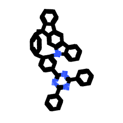 CC12c3ccc(cc3)-c3ccc(-c4nc(-c5ccccc5)nc(-c5ccccc5)n4)cc3-n3c4ccccc4c4cc(c1cc43)-c1ccccc12